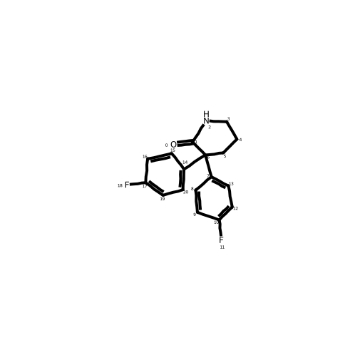 O=C1NCCCC1(c1ccc(F)cc1)c1ccc(F)cc1